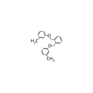 Cc1cccc(OCc2ccccc2COc2cccc(C)c2)c1